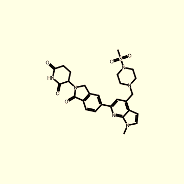 Cn1ccc2c(CN3CCN(S(C)(=O)=O)CC3)cc(-c3ccc4c(c3)CN(C3CCC(=O)NC3=O)C4=O)nc21